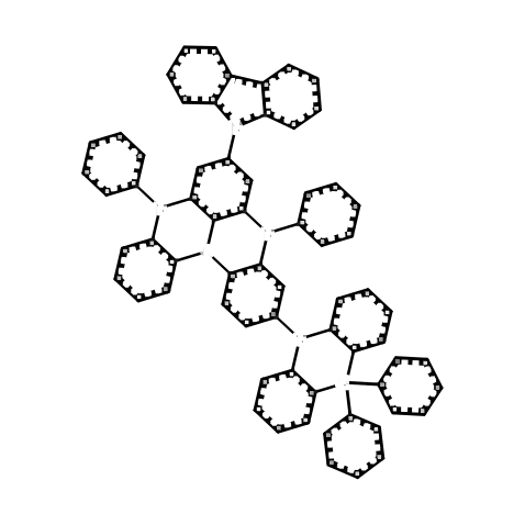 c1ccc(N2c3ccccc3B3c4ccc(N5c6ccccc6[Si](c6ccccc6)(c6ccccc6)c6ccccc65)cc4N(c4ccccc4)c4cc(-n5c6ccccc6c6ccccc65)cc2c43)cc1